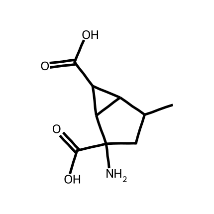 CC1CC(N)(C(=O)O)C2C(C(=O)O)C12